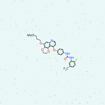 COCCCOc1cc2nccc(Oc3ccc(NC(=O)Nc4cc(C(F)(F)F)ccc4F)cc3)c2c2c1OCCO2